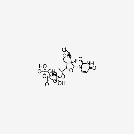 C[C@H](OP(=O)(O)OP(=O)(O)OP(=O)(O)O)[C@H]1O[C@@H](n2ccc(=O)[nH]c2=O)C(F)(C#CCl)C1CO